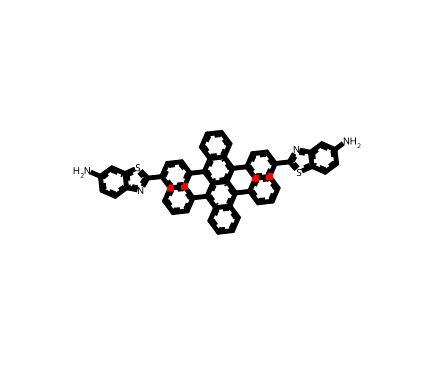 Nc1ccc2sc(-c3ccc(-c4c5ccccc5c(-c5ccc(-c6nc7ccc(N)cc7s6)cc5)c5c(-c6ccccc6)c6ccccc6c(-c6ccccc6)c45)cc3)nc2c1